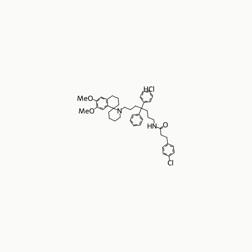 COc1cc2c(cc1OC)C1(CCCCN1CCCC(CCCNC(=O)CCc1ccc(Cl)cc1)(c1ccccc1)c1ccccc1)CCC2.Cl